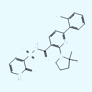 C[C@@H]1CN(c2nc(-c3ccccc3Cl)ccc2C(=O)NS(=O)(=O)c2ccc[nH]c2=O)C(C)(C)C1